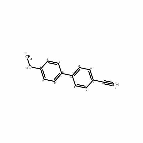 C#Cc1ccc(-c2ccc(OC(F)(F)F)cc2)cc1